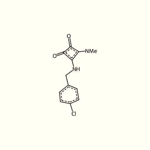 CNc1c(NCc2ccc(Cl)cc2)c(=O)c1=O